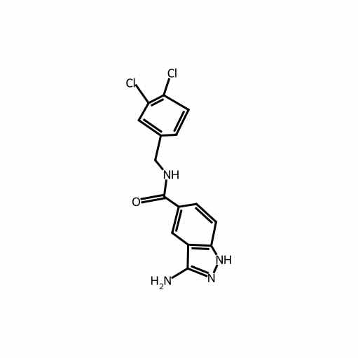 Nc1n[nH]c2ccc(C(=O)NCc3ccc(Cl)c(Cl)c3)cc12